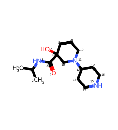 CC(C)NC(=O)C1(O)CCCN(C2CCNCC2)C1